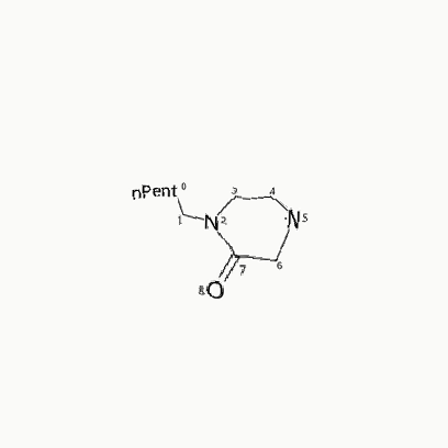 CCCCCCN1CC[N]CC1=O